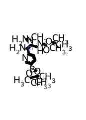 CN(N)/C(CNC(=O)OC(C)(C)C)=C(\N)c1ccc(B2OC(C)(C)C(C)(C)O2)cn1